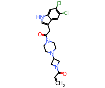 C=CC(=O)N1CC(N2CCN(C(=O)Cc3c[nH]c4cc(Cl)c(Cl)cc34)CC2)C1